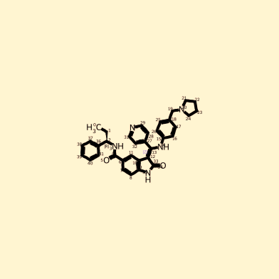 CC[C@@H](NC(=O)c1ccc2c(c1)/C(=C(/Nc1ccc(CN3CCCC3)cc1)c1ccncc1)C(=O)N2)c1ccccc1